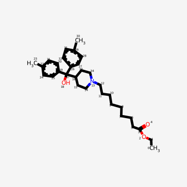 CCOC(=O)CCCCCCCCN1CCC(C(O)(c2ccc(C)cc2)c2ccc(C)cc2)CC1